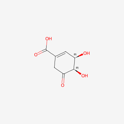 O=C(O)C1=C[C@@H](O)[C@@H](O)C(=O)C1